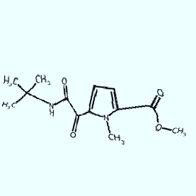 COC(=O)c1ccc(C(=O)C(=O)NC(C)(C)C)n1C